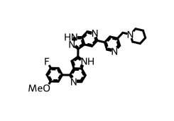 COc1cc(F)cc(-c2nccc3[nH]c(-c4n[nH]c5cnc(-c6cncc(CN7CCCCC7)c6)cc45)cc23)c1